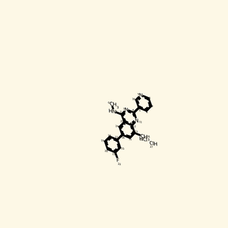 CNc1nc(-c2cccnc2)nc2c(C)cc(-c3cccc(F)c3)cc12.Cl.Cl